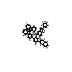 Cc1cc2c3c4c1c1cc5ccccc5cc1n4-c1cc4oc(-c5ccccc5)cc4cc1B3N1c3ccccc3C(c3ccccc3)(c3ccccc3)c3cccc-2c31